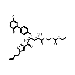 C=CCCn1cc(C(=O)N[C@H](Cc2ccc(-c3cc(Cl)ccc3F)cc2)C[C@@H](O)C(=O)OCOC(=O)OCC)nn1